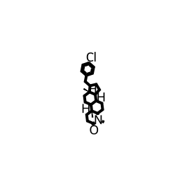 CN1C(=O)CC[C@@]2(C)C1CC[C@@H]1[C@H]2CC[C@]2(C)C(Cc3ccc(Cl)cc3)CC[C@@H]12